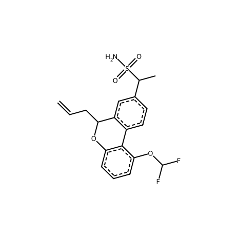 C=CCC1Oc2cccc(OC(F)F)c2-c2ccc(C(C)S(N)(=O)=O)cc21